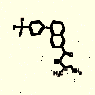 C[C@@H](CN)NC(=O)c1ccc2c(-c3ccc(C(F)(F)F)cc3)cccc2c1